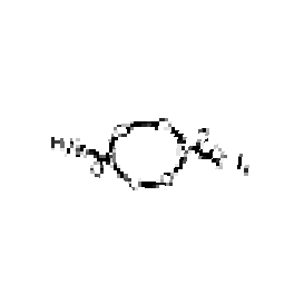 COCC(=O)N1CCOCCOCCN(C(=O)COC)CCOCCOCC1